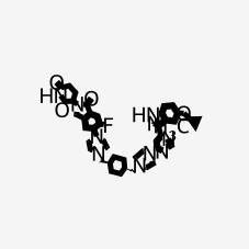 CC1(Oc2ccc3[nH]nc(-c4cc(N5CCN(C[C@H]6CC[C@H](CN7CCN(c8cc9c(cc8F)C(=O)N(C8CCC(=O)NC8=O)C9)CC7)CC6)CC5)ncn4)c3c2)CC1